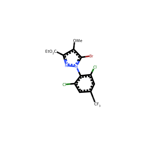 CCOC(=O)c1nn(-c2c(Cl)cc(C(F)(F)F)cc2Cl)c(Br)c1OC